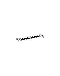 CCCCCCCC=S=CCCCCCCC